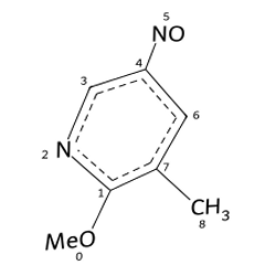 COc1ncc(N=O)cc1C